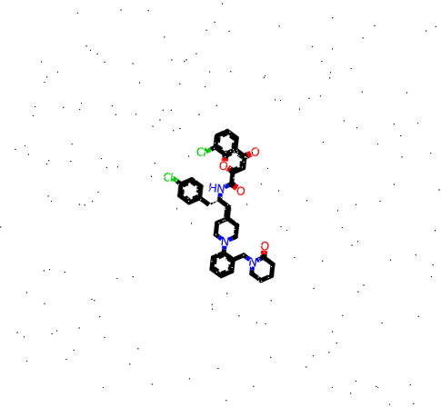 O=C(N[C@H](C=C1CCN(c2ccccc2CN2CCCCC2=O)CC1)Cc1ccc(Cl)cc1)c1cc(=O)c2cccc(Cl)c2o1